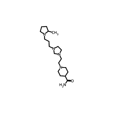 CC1CCCN1CCCN1CCN(CCN2CCC(C(N)=O)CC2)C1